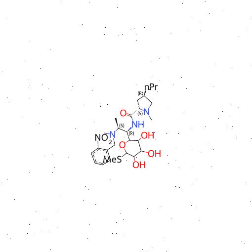 CCC[C@@H]1C[C@@H](C(=O)N[C@@H](C2OC(SC)C(O)C(O)C2O)[C@H](C)N(C)Cc2ccccc2[N+](=O)[O-])N(C)C1